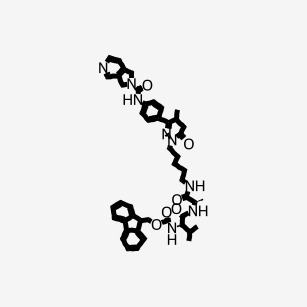 CC1CC(=O)N(CCCCCNC(=O)[C@H](C)NC(=O)[C@@H](NC(=O)OCC2c3ccccc3-c3ccccc32)C(C)C)N=C1c1ccc(NC(=O)N2Cc3ccncc3C2)cc1